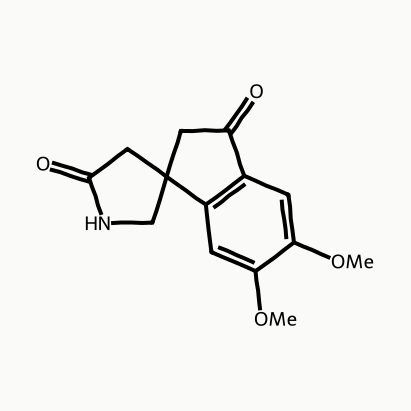 COc1cc2c(cc1OC)C1(CNC(=O)C1)CC2=O